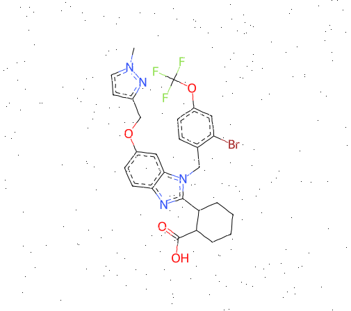 Cn1ccc(COc2ccc3nc(C4CCCCC4C(=O)O)n(Cc4ccc(OC(F)(F)F)cc4Br)c3c2)n1